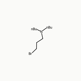 CCCCN(CCCC)CCCBr